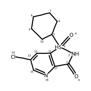 O=C1N[SH](=O)(C2CCCCC2)c2cc(Cl)cnc21